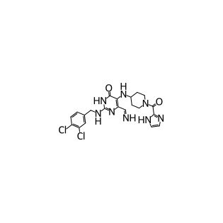 N=Cc1nc(NCc2ccc(Cl)c(Cl)c2)[nH]c(=O)c1NC1CCN(C(=O)c2ncc[nH]2)CC1